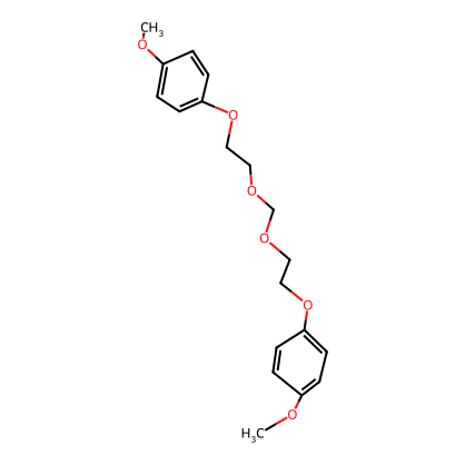 COc1ccc(OCCOCOCCOc2ccc(OC)cc2)cc1